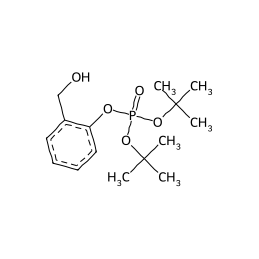 CC(C)(C)OP(=O)(Oc1ccccc1CO)OC(C)(C)C